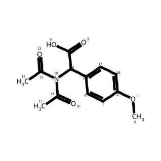 COc1ccc(C(C(=O)O)N(C(C)=O)C(C)=O)cc1